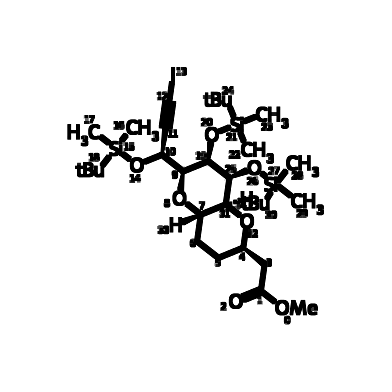 COC(=O)C[C@H]1CC[C@@H]2O[C@@H]([C@H](C#CI)O[Si](C)(C)C(C)(C)C)[C@@H](O[Si](C)(C)C(C)(C)C)[C@@H](O[Si](C)(C)C(C)(C)C)[C@H]2O1